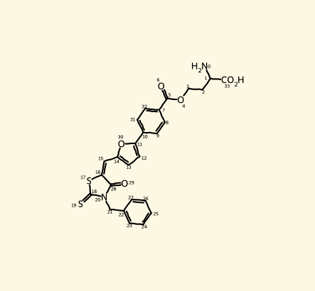 NC(CCOC(=O)c1ccc(-c2ccc(/C=C3/SC(=S)N(Cc4ccccc4)C3=O)o2)cc1)C(=O)O